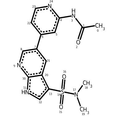 CC(=O)Nc1cc(-c2cnc3[nH]cc(S(=O)(=O)N(C)C)c3c2)ccn1